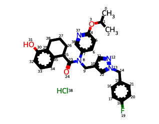 CC(C)Oc1ccc(N(Cc2cnn(Cc3ccc(F)cc3)c2)C(=O)C2CCCc3c(O)cccc32)cn1.Cl